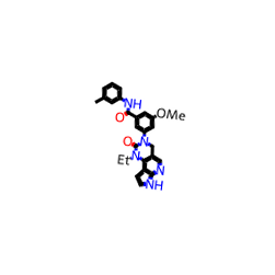 CCN1C(=O)N(c2cc(OC)cc(C(=O)Nc3cccc(C)c3)c2)Cc2cnc3[nH]ccc3c21